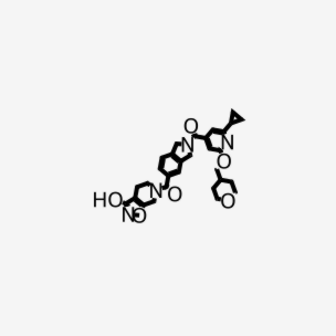 O=C(c1cc(OCC2CCOCC2)nc(C2CC2)c1)N1Cc2ccc(C(=O)N3CCc4c(O)noc4C3)cc2C1